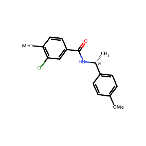 COc1ccc([C@@H](C)NC(=O)c2ccc(OC)c(Cl)c2)cc1